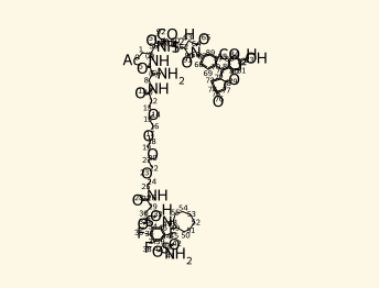 CC(=O)C[C@H](NC(=O)[C@@H](N)CNC(=O)CCOCCOCCOCCOCCNC(=O)CCS(=O)(=O)c1c(F)c(F)c(S(N)(=O)=O)c(F)c1NC1CCCCCCC1)C(=O)N[C@@H](CSC1CC(=O)N(c2ccc(-c3c4ccc(=O)cc-4oc4cc(O)ccc34)c(C(=O)O)c2)C1=O)C(=O)O